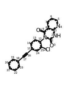 O=c1[nH]c2ncccc2c(=O)n1-c1ccc(C#Cc2ccccc2)cc1Cl